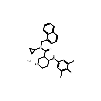 Cl.O=C(C1CNCCC1Nc1cc(F)c(F)c(F)c1)N(Cc1cccc2ccccc12)C1CC1